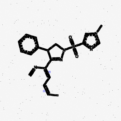 C=N/C(=C\C=C/C)C1=NN(S(=O)(=O)c2cn(C)cn2)CC1c1ccccc1